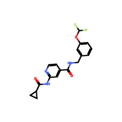 O=C(NCc1cccc(OC(F)F)c1)c1ccnc(NC(=O)C2CC2)c1